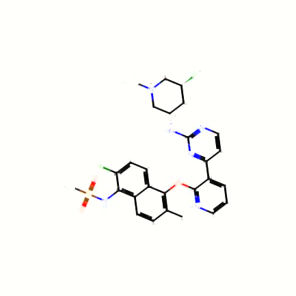 CCCS(=O)(=O)Nc1c(F)ccc2c(Oc3ncccc3-c3ccnc(N[C@H]4C[C@H](F)CN(C(=O)O)C4)n3)c(C)ccc12